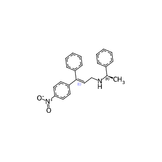 C[C@@H](NC/C=C(\c1ccccc1)c1ccc([N+](=O)[O-])cc1)c1ccccc1